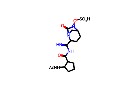 CC(=O)NC1CCCC1C(=O)NC(=N)C1CCC2CN1C(=O)N2OS(=O)(=O)O